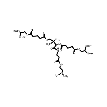 CCCCCCCCC(CCCCCC)COC(=O)CCCC(=O)OCC(C)(C)[C@@H](OC(=O)CCCC(=O)OCC(CCCCCC)CCCCCCCC)C(=O)NCCC(=O)NCCN(C)C